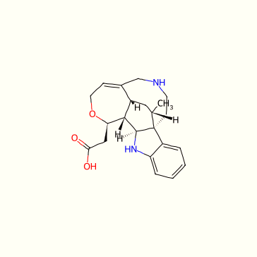 C[C@H]1C[C@H]2C3=CCO[C@H](CC(=O)O)[C@H]2[C@@H]2Nc4ccccc4[C@]12CCNC3